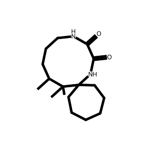 CC1CCCNC(=O)C(=O)NC2(CCCCCC2)C1(C)C